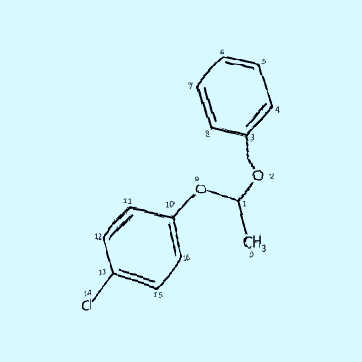 CC(Oc1ccccc1)Oc1ccc(Cl)cc1